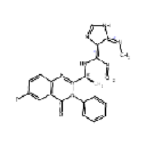 C=N/C(N[C@@H](C)c1nc2ccc(F)cc2c(=O)n1-c1ccccc1)=C1/N=CN/C1=N/C